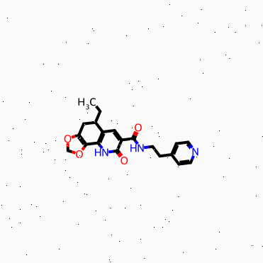 CCC1CC2=C(OCO2)c2[nH]c(=O)c(C(=O)NCCc3ccncc3)cc21